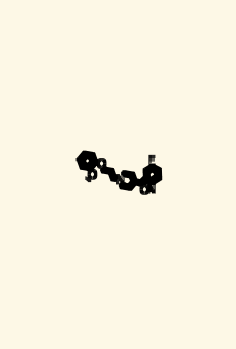 COc1c[c]ccc1OCCCN1CCC(c2onc3ccc(F)cc23)CC1